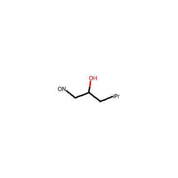 CC(C)CC(O)CN=O